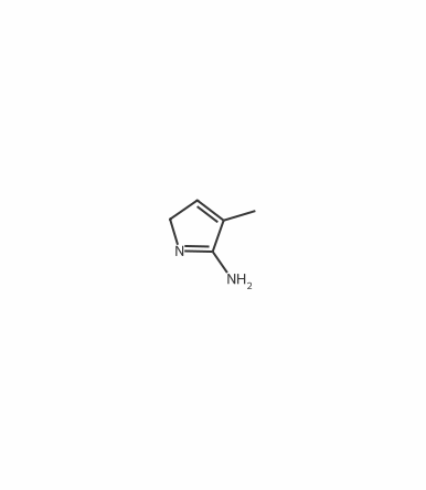 CC1=CCN=C1N